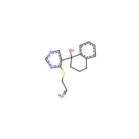 C=CCSc1ncncc1C1(O)CCCc2ccccc21